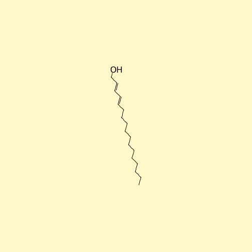 CCCCCCCCCCCC/C=C/C=C/CO